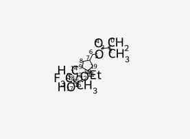 C=C(C)C(=O)OCC1CCC(CC)(OC(C)C(C)(O)C(F)(F)F)C1